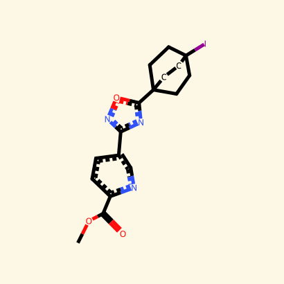 COC(=O)c1ccc(-c2noc(C34CCC(I)(CC3)CC4)n2)cn1